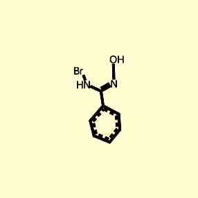 ON=C(NBr)c1ccccc1